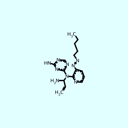 C=CC(N)N(c1ncnc([NH])n1)c1ncccc1/N=N/CCCCC